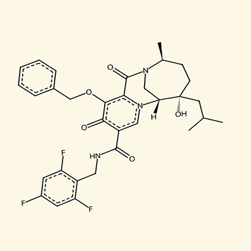 CC(C)C[C@]1(O)CC[C@H](C)N2C[C@H]1n1cc(C(=O)NCc3c(F)cc(F)cc3F)c(=O)c(OCc3ccccc3)c1C2=O